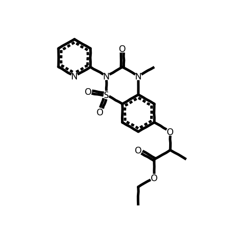 CCOC(=O)C(C)Oc1ccc2c(c1)N(C)C(=O)N(c1ccccn1)S2(=O)=O